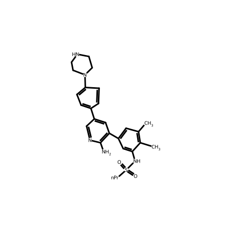 CCCS(=O)(=O)Nc1cc(-c2cc(-c3ccc(N4CCNCC4)cc3)cnc2N)cc(C)c1C